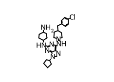 NC1CCC(Nc2nc(NN3CCC(Cc4ccc(Cl)cc4)CC3)c3ncn(C4CCCC4)c3n2)CC1